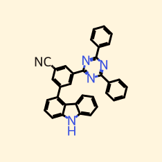 N#Cc1cc(-c2nc(-c3ccccc3)nc(-c3ccccc3)n2)cc(-c2cccc3[nH]c4ccccc4c23)c1